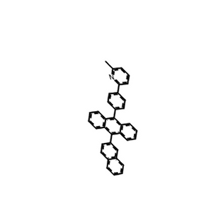 Cc1cccc(-c2ccc(-c3c4ccccc4c(-c4ccc5ccccc5c4)c4ccccc34)cc2)n1